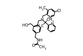 CC(=O)NCc1ccc(CN(Cc2ncc(Cl)cc2C)C(C)(C)c2ccccn2)c(CO)c1